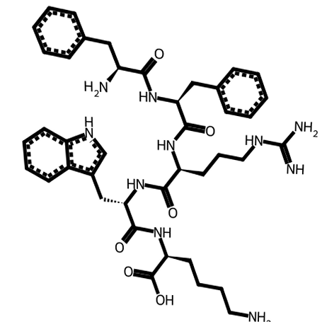 N=C(N)NCCC[C@H](NC(=O)[C@H](Cc1ccccc1)NC(=O)[C@@H](N)Cc1ccccc1)C(=O)N[C@@H](Cc1c[nH]c2ccccc12)C(=O)N[C@@H](CCCCN)C(=O)O